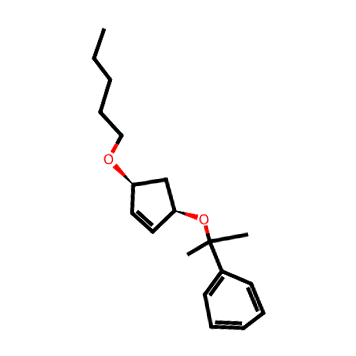 CCCCCO[C@@H]1C=C[C@H](OC(C)(C)c2ccccc2)C1